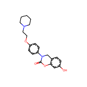 O=C1Oc2cc(O)ccc2CN1c1ccc(OCCN2CCCCC2)cc1